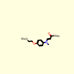 CNC(=O)/C=C/N(C)c1ccc(OCCOC)cc1